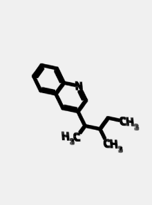 CCC(C)C(C)c1cnc2ccccc2c1